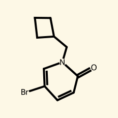 O=c1ccc(Br)cn1CC1CCC1